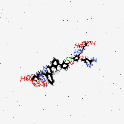 Cc1c(COc2cc(OCc3cncc(C#N)c3)c(CNC[C@@H](O)CC(=O)O)cc2Cl)cccc1-c1cccc(-c2cnc3c(CNC[C@@H](O)CC(=O)O)cccc3c2)c1C